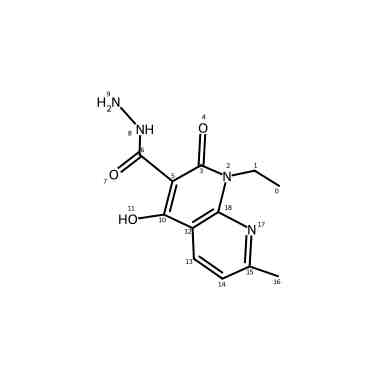 CCn1c(=O)c(C(=O)NN)c(O)c2ccc(C)nc21